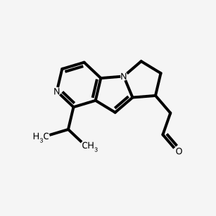 CC(C)c1nccc2c1cc1n2CCC1CC=O